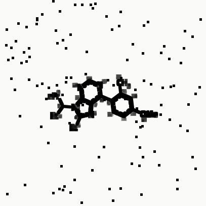 CCCC(CC)n1c(CC)nc2c(-c3ccc(OC)cc3C)ncnc21